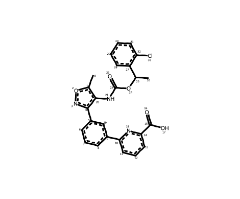 Cc1onc(-c2cccc(-c3cccc(C(=O)O)n3)c2)c1NC(=O)OC(C)c1ccccc1Cl